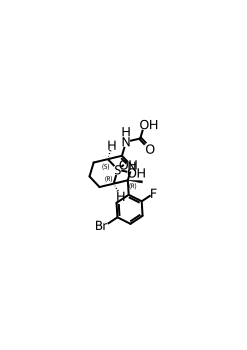 C[C@]1(c2cc(Br)ccc2F)N=C(NC(=O)O)[C@@H]2CCC[C@H]1S2(O)O